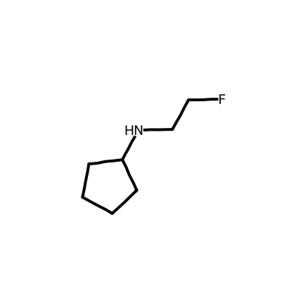 FCCNC1CCCC1